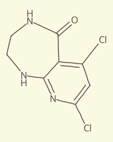 O=C1NCCNc2nc(Cl)cc(Cl)c21